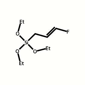 CCO[Si](CC=CF)(OCC)OCC